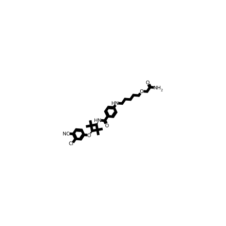 CC1(C)[C@H](NC(=O)c2ccc(NCCCCCOCC(N)=O)cc2)C(C)(C)[C@H]1Oc1ccc(C#N)c(Cl)c1